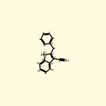 N#Cc1c(Cc2ccccc2)[nH]c2cc[c]cc12